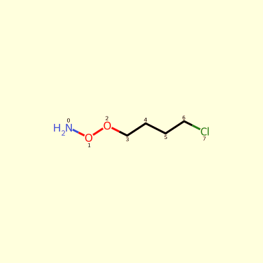 NOOCCCCCl